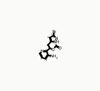 Nc1cccnc1C(Cc1cc(Br)n[nH]1)OC=O